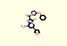 O=C(c1nc2c(C(F)(F)F)cc(-c3ccoc3)cn2c1Cl)N1CCC(Oc2ccccc2)C1